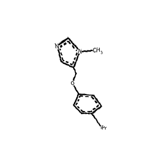 CC(C)c1ccc(OCc2cncn2C)cc1